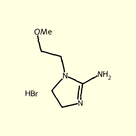 Br.COCCN1CCN=C1N